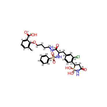 Cc1cccc(C(=O)O)c1OCCCCNC(=O)C(Cc1ccc(C2CC(=O)NS2(O)O)c(Cl)c1)NS(=O)(=O)c1ccccc1